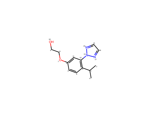 CC(C)c1ccc(OCCO)cc1-n1nccn1